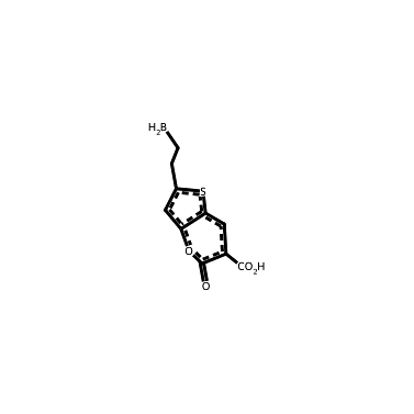 BCCc1cc2oc(=O)c(C(=O)O)cc2s1